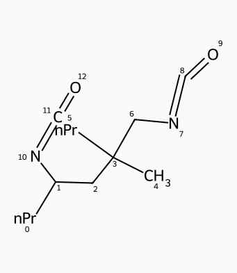 CCCC(CC(C)(CCC)CN=C=O)N=C=O